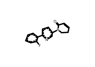 O=C1C=CCCN1c1ccc(-c2ccccc2F)nc1